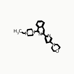 CCN1CCN(c2nc(-c3ccc(N4CCOCC4)cn3)cc3ccccc23)CC1